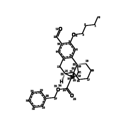 CCCCOc1cc2c(cc1C=O)C[C@H]1[C@H]3CCCC[C@@]23CCN1C(=O)OCc1ccccc1